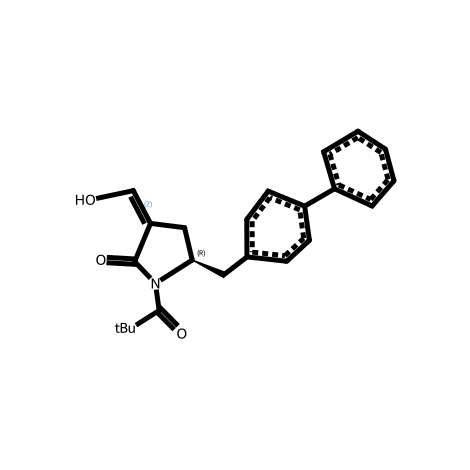 CC(C)(C)C(=O)N1C(=O)/C(=C\O)C[C@H]1Cc1ccc(-c2ccccc2)cc1